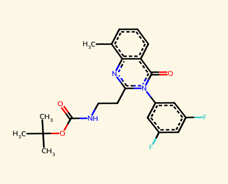 Cc1cccc2c(=O)n(-c3cc(F)cc(F)c3)c(CCNC(=O)OC(C)(C)C)nc12